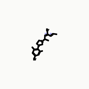 C/C=C/C(Br)=C\C(C)N1CCN(c2c(C)cc(Br)cc2C)C1